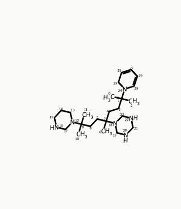 CC(C)(CCC(C)(CCC(C)(C)N1CCCNC1)N1CNCNC1)N1C=CC=CC1